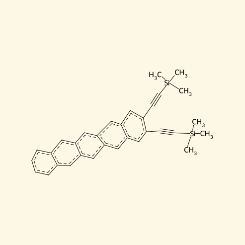 C[Si](C)(C)C#Cc1cc2cc3cc4cc5ccccc5cc4cc3cc2cc1C#C[Si](C)(C)C